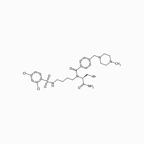 CC(C)C[C@@H](C(N)=O)N(CCCCNS(=O)(=O)c1ccc(Cl)cc1Cl)C(=O)c1ccc(CN2CCN(C)CC2)cc1